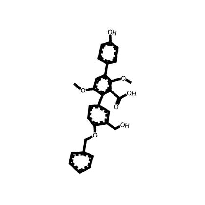 COc1cc(-c2ccc(O)cc2)c(OC)c(C(=O)O)c1-c1ccc(OCc2ccccc2)c(CO)c1